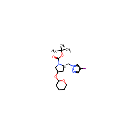 CC(C)(C)OC(=O)N1CC(OC2CCCCO2)C[C@H]1Cn1cc(I)cn1